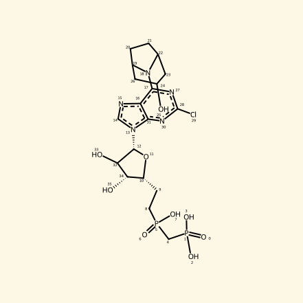 O=P(O)(O)CP(=O)(O)CC[C@H]1O[C@@H](n2cnc3c(N4C5CCC4CC(O)C5)nc(Cl)nc32)C(O)[C@H]1O